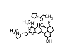 C#Cc1c(F)ccc2cc(O)cc(C3=Cc4nc(OC[C@@H]5CCCN5C)nc(N(C)C[C@@H]5CCCN5C(=O)C=C)c4CC3)c12